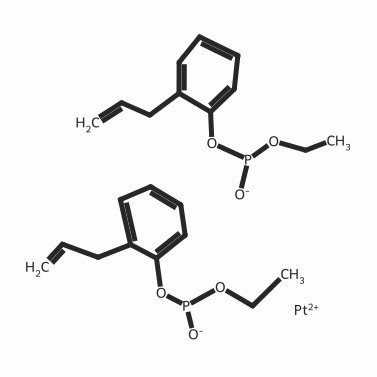 C=CCc1ccccc1OP([O-])OCC.C=CCc1ccccc1OP([O-])OCC.[Pt+2]